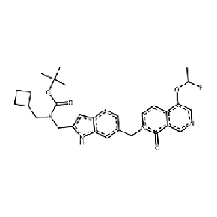 CC(F)Oc1cncc2c(=O)n(Cc3ccc4cc(CN(CC5CCC5)C(=O)OC(C)(C)C)[nH]c4c3)ccc12